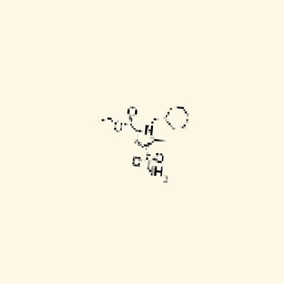 CCOC(=O)c1cc(S(N)(=O)=O)c(C)n1CC1CCCCC1